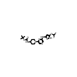 CC(C)(C)OC(=O)NC1CCN(c2cncc(Nc3cc(OC(F)F)[nH]n3)n2)CC1